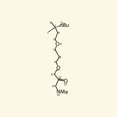 CCCCC(C)(C)CCOCCCOCC(=O)CNC